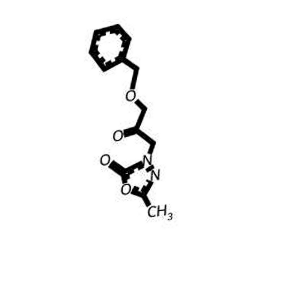 Cc1nn(CC(=O)COCc2ccccc2)c(=O)o1